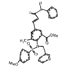 CCN(C(=O)C=Cc1cc(C)c(N(Cc2cccnc2)S(=O)(=O)c2ccc(OC)cc2)c(C(=O)OC)c1)c1ccccc1